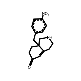 O=C1C=C2CCNCC2(Cc2ccc([N+](=O)[O-])cc2)CC1